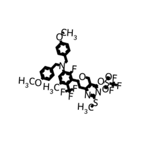 COc1ccc(CN(Cc2ccc(OC)cc2)c2cc(C)c(C(F)(F)F)c(C3Cc4nc(SC)nc(OS(=O)(=O)C(F)(F)F)c4CO3)c2F)cc1